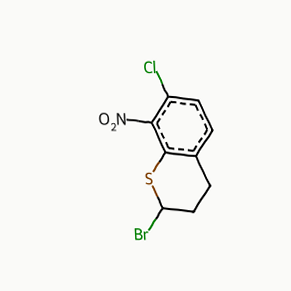 O=[N+]([O-])c1c(Cl)ccc2c1SC(Br)CC2